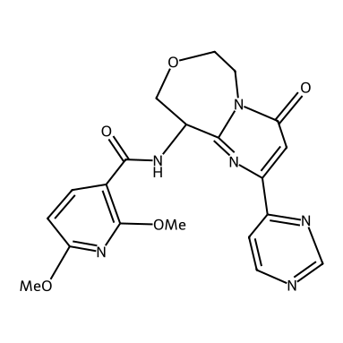 COc1ccc(C(=O)NC2COCCn3c2nc(-c2ccncn2)cc3=O)c(OC)n1